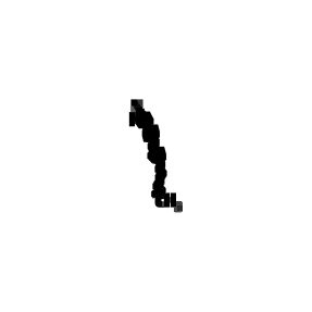 CCCCCCCCCC1CCC(C=CC2CCC(c3ccc(C#N)c(F)c3)CC2)CC1